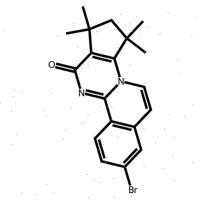 CC1(C)CC(C)(C)c2c1c(=O)nc1c3ccc(Br)cc3ccn21